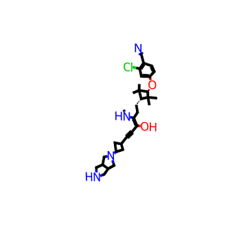 CN/C(CC[C@H]1C(C)(C)[C@H](Oc2ccc(C#N)c(Cl)c2)C1(C)C)=C(/O)C#CC1CC(N2CC3CNCC3C2)C1